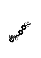 O=C(/C=C/c1ccc(-c2ccc(OC(F)(F)F)cc2)cc1)N[n+]1ccccc1